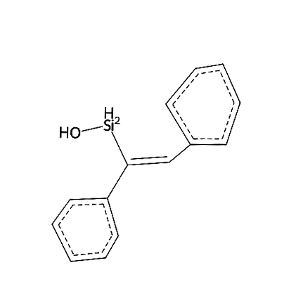 O[SiH2]C(=Cc1ccccc1)c1ccccc1